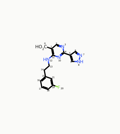 O=C(O)c1cnc(-c2cn[nH]c2)nc1NCCc1cccc(F)c1